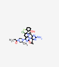 C=CC(=O)N1CCN(c2nc(=O)n(-c3c(C4CC4)nc(N)nc3C3CC3)c3nc(-c4c(O)cccc4F)c(Cl)cc23)[C@@H](C)C1